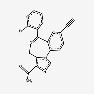 C#Cc1ccc2c(c1)C(c1ccccc1Br)=NCc1c(C(N)=O)ncn1-2